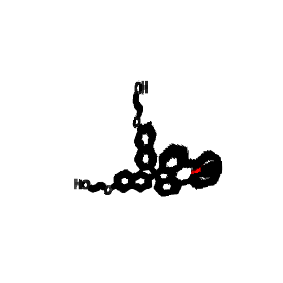 OCCOc1ccc2cc(C3(c4ccc5cc(OCCO)ccc5c4)c4cccc(-c5ccccc5)c4-c4c(-c5ccccc5)cccc43)ccc2c1